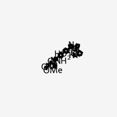 COC(=O)N[C@@H](C)C(=O)N1CCC[C@H]1c1ncc(-c2ccc(-c3ccc(-c4cnc([C@@H]5CCCN5C(=O)[C@H]5CCCC[C@H]5N(C)C(=O)O)[nH]4)cc3)cc2)[nH]1